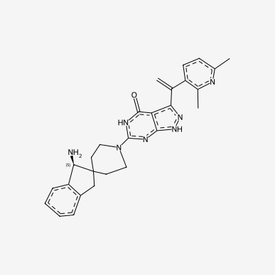 C=C(c1ccc(C)nc1C)c1n[nH]c2nc(N3CCC4(CC3)Cc3ccccc3[C@H]4N)[nH]c(=O)c12